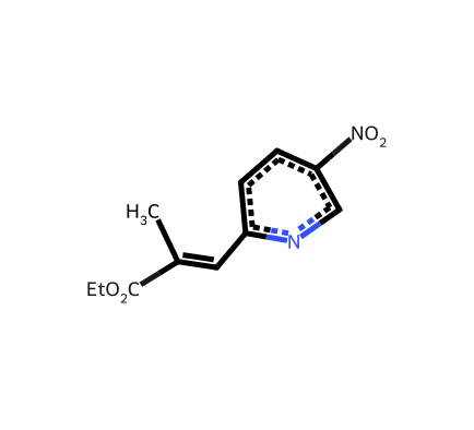 CCOC(=O)C(C)=Cc1ccc([N+](=O)[O-])cn1